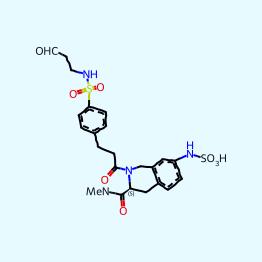 CNC(=O)[C@@H]1Cc2ccc(NS(=O)(=O)O)cc2CN1C(=O)CCc1ccc(S(=O)(=O)NCCC=O)cc1